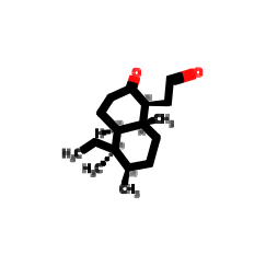 CC[C@@]1(C)[C@H]2CCC(=O)[C@@H](CC=O)[C@]2(C)CC[C@H]1C